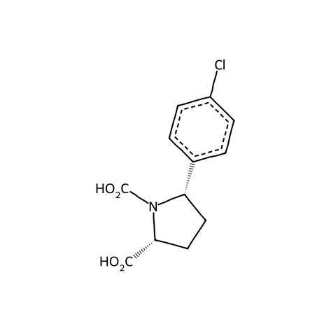 O=C(O)[C@H]1CC[C@@H](c2ccc(Cl)cc2)N1C(=O)O